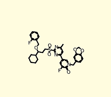 Cc1cc(-c2cc(F)c(=O)n(Cc3ccc4c(c3)OCO4)c2)nc(S(=O)(=O)CCC(OCc2ccccc2F)C2CCCCC2)n1